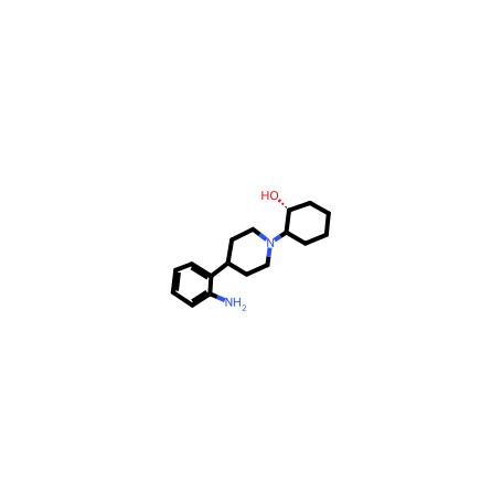 Nc1ccccc1C1CCN(C2CCCC[C@H]2O)CC1